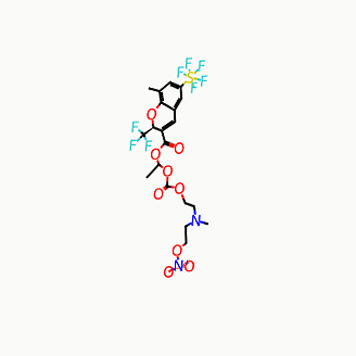 Cc1cc(S(F)(F)(F)(F)F)cc2c1O[C@H](C(F)(F)F)C(C(=O)OC(C)OC(=O)OCCN(C)CCO[N+](=O)[O-])=C2